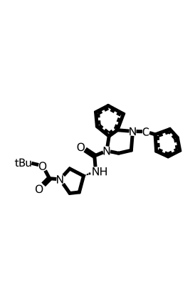 CC(C)(C)OC(=O)N1CC[C@@H](NC(=O)N2CCN(Cc3ccccc3)c3ccccc32)C1